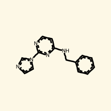 c1ccc(CNc2ccnc(-n3ccnc3)n2)cc1